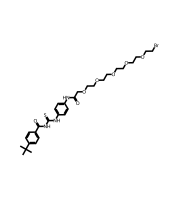 CC(C)(C)c1ccc(C(=O)NC(=S)Nc2ccc(NC(=O)COCCOCCOCCOCCOCCBr)cc2)cc1